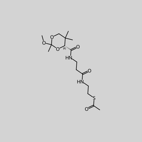 COC1(C)OCC(C)(C)[C@H](C(=O)NCCC(=O)NCCSC(C)=O)O1